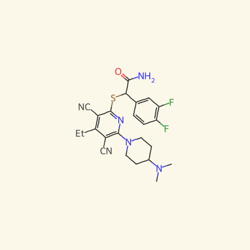 CCc1c(C#N)c(SC(C(N)=O)c2ccc(F)c(F)c2)nc(N2CCC(N(C)C)CC2)c1C#N